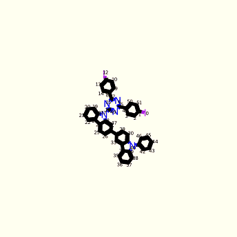 Ic1ccc(-c2nc(-c3ccc(I)cc3)nc(-n3c4ccccc4c4ccc(-c5ccc6c(c5)c5ccccc5n6-c5ccccc5)cc43)n2)cc1